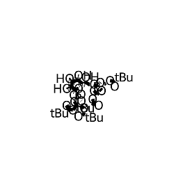 CC(C)(C)C(=O)OCOP(=O)(OCOC(=O)C(C)(C)C)OCC(O)[C@H]1O[C@@H](OP(=O)(OCOC(=O)C(C)(C)C)OCOC(=O)C(C)(C)C)[C@@H](O)[C@@H](O)[C@@H]1O